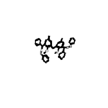 COc1c(Cc2cc(C)cc(C(=C=Nc3ccccc3)c3ccccc3)c2OC)cc(C)cc1C(=C=Nc1ccccc1)c1ccccc1